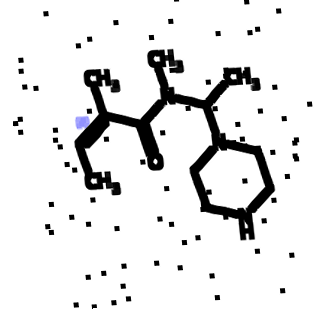 C/C=C(/C)C(=O)N(C)C(C)N1CCNCC1